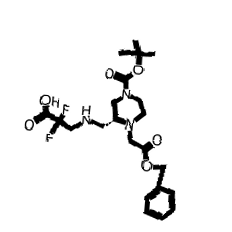 CC(C)(C)OC(=O)N1CCN(CC(=O)OCc2ccccc2)[C@H](CNCC(F)(F)C(=O)O)C1